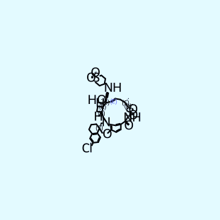 C[C@@H]1[C@@H](C)C/C=C/[C@](O)(C#CNC2CCS(=O)(=O)CC2)[C@@H]2CC[C@H]2CN2C[C@@]3(CCCc4cc(Cl)ccc43)COc3ccc(cc32)C(=O)NS1(=O)=O